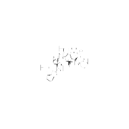 COc1cc(C(=O)NC2CCCN(C)C2)c(F)cc1Nc1ncc(C(F)(F)F)c(N[C@@H]2Cc3ccccc3[C@H]2C)n1